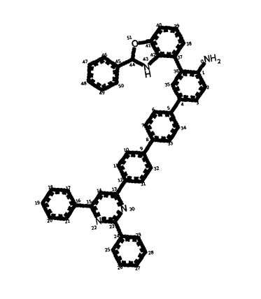 Nc1ccc(-c2ccc(-c3ccc(-c4cc(-c5ccccc5)nc(-c5ccccc5)n4)cc3)cc2)cc1-c1cccc2c1NC(c1ccccc1)O2